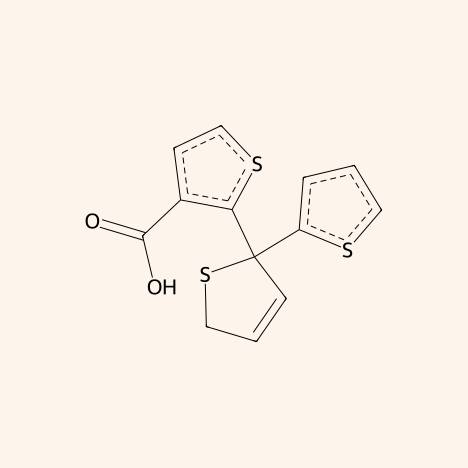 O=C(O)c1ccsc1C1(c2cccs2)C=CCS1